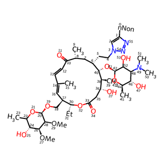 CCCCCCCCCc1cn(CC[C@H]2C[C@@H](C)C(=O)/C=C/C(C)=C/[C@H](CO[C@@H]3OC(C)[C@@H](O)[C@H](OC)C3OC)[C@@H](CC)OC(=O)C[C@@H](O)[C@H](C)[C@H]2O[C@@H]2O[C@H](C)[C@@H](O)C(N(C)C)C2O)nn1